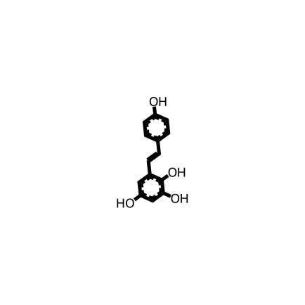 Oc1ccc(C=Cc2cc(O)cc(O)c2O)cc1